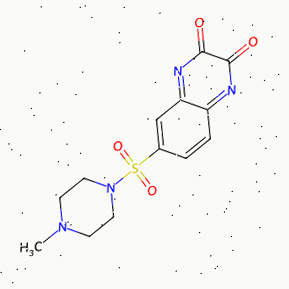 CN1CCN(S(=O)(=O)c2ccc3c(c2)=NC(=O)C(=O)N=3)CC1